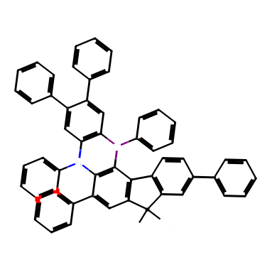 CC1(C)c2cc(-c3ccccc3)ccc2-c2c1cc(-c1ccccc1)c1c2P(c2ccccc2)c2cc(-c3ccccc3)c(-c3ccccc3)cc2N1c1ccccc1